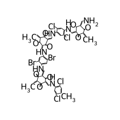 C/C=C1\C(=O)/C(=C/Nc2cc(Cl)c(N/C=C3\C(=O)/C(=C/C)C(=O)/C(=C/Nc4cc(Br)c(N/C=C5/C(=O)/C(=C\Nc6cc(Cl)c(C)cc6Cl)C(=O)/C(=C\C)C5=O)cc4Br)C3=O)cc2Cl)C(=O)/C(=C/N)C1=O